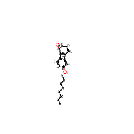 CCCCCCCCOc1ccc2c(c1)C1=C2C2OC2C=C1